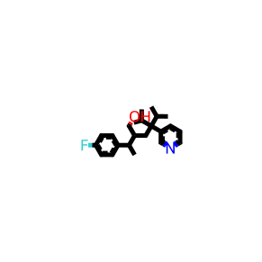 CC(c1ccc(F)cc1)C(CO)CC(c1cccnc1)(C(C)C)C(C)C